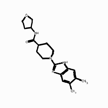 Cc1cc2nc(N3CCC(C(=O)NC4CCOC4)CC3)[nH]c2cc1C